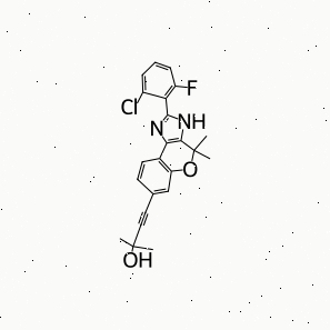 CC(C)(O)C#Cc1ccc2c(c1)OC(C)(C)c1[nH]c(-c3c(F)cccc3Cl)nc1-2